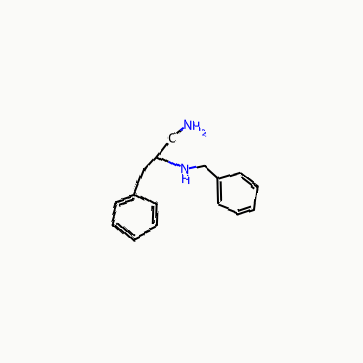 NCC(Cc1ccccc1)NCc1ccccc1